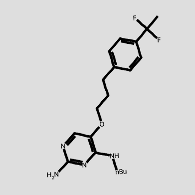 CCCCNc1nc(N)ncc1OCCCc1ccc(C(C)(F)F)cc1